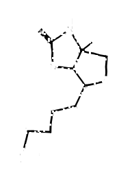 CC12CSC(CCCCC=O)C1NC(=O)N2